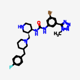 Cn1nnnc1-c1cc(Br)cc(NC(=O)N[C@@H]2CCNC[C@H]2CN2CCCC(Cc3ccc(F)cc3)C2)c1